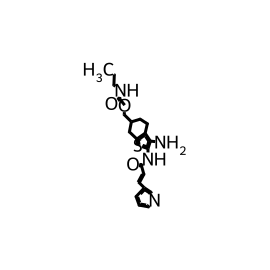 CCCNC(=O)OCC1CCc2c(sc(NC(=O)/C=C/c3cccnc3)c2N)C1